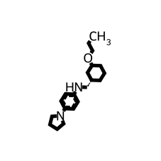 CCCOC1CCC[C@H](CNc2ccc(N3CCCC3)cc2)C1